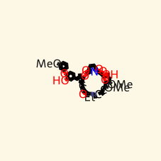 CCC1/C=C(\C)CC(C)CC(OC)C2OC(O)(C(=O)C(=O)N3CCCCC3C(=O)OC(C(C)=CC3CCC(Oc4cccc(OC)c4)C(O)C3)C(C)CCC1=O)C(C)CC2OC